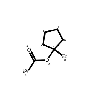 CCC1(OC(=O)C(C)C)CCCC1